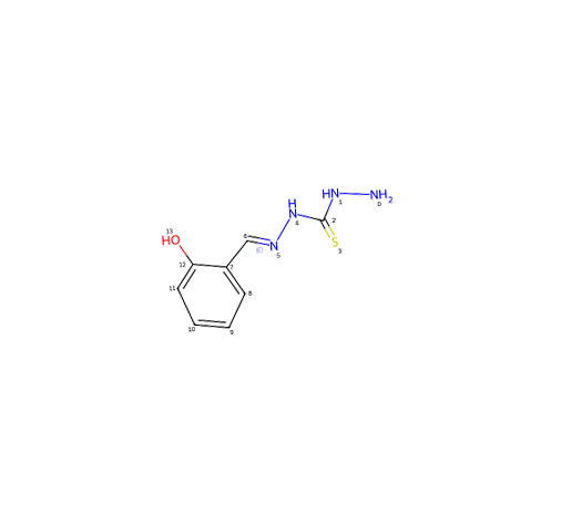 NNC(=S)N/N=C/c1ccccc1O